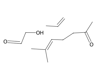 C=CC.CC(=O)CCC=C(C)C.O=CCO